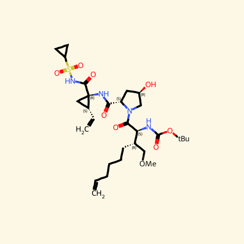 C=CCCCC[C@@H](COC)[C@H](NC(=O)OC(C)(C)C)C(=O)N1C[C@H](O)C[C@H]1C(=O)N[C@]1(C(=O)NS(=O)(=O)C2CC2)C[C@H]1C=C